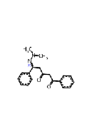 CN(C)/N=C(\CC(=O)CC(=O)c1ccccc1)c1ccccc1